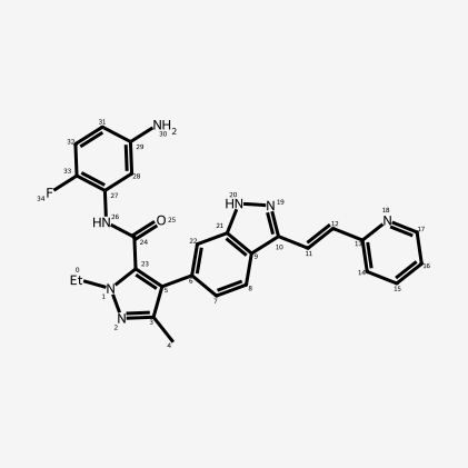 CCn1nc(C)c(-c2ccc3c(/C=C/c4ccccn4)n[nH]c3c2)c1C(=O)Nc1cc(N)ccc1F